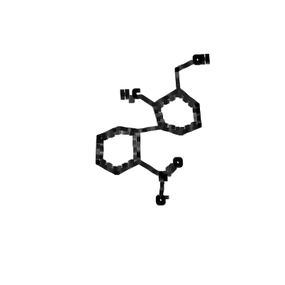 Cc1c(CO)cccc1-c1ccccc1[N+](=O)[O-]